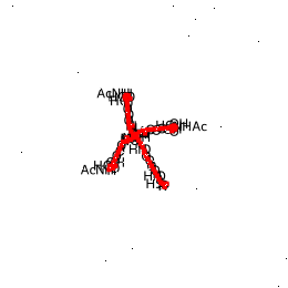 CC(=O)N[C@H]1[C@H]2OC[C@@](COCCOCCOCCOCCn3cc(COCC(COCc4cn(CCOCCOCCOCCOC[C@]56CO[C@@H](O5)[C@H](NC(C)=O)[C@@H](O)[C@H]6O)nn4)(COCc4cn(CCOCCOCCOCCOC[C@]56CO[C@@H](O5)[C@H](NC(C)=O)[C@@H](O)[C@H]6O)nn4)NC(=O)CCCCCNC(=O)CCOCCOCCOCCOCCNC(=O)CC[S](S)c4ccccn4)nn3)(O2)[C@H](O)[C@@H]1O